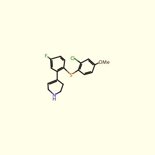 COc1ccc(Sc2ccc(F)cc2C2=CCNCC2)c(Cl)c1